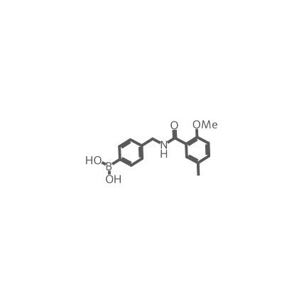 COc1ccc(C)cc1C(=O)NCc1ccc(B(O)O)cc1